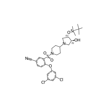 CC(C)(C)[Si](C)(C)O[C@H]1CN(C2CCN(S(=O)(=O)c3cc(C#N)ccc3Oc3cc(Cl)cc(Cl)c3)CC2)C[C@@H]1O